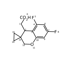 O=C(O)CC1c2c(F)cc(F)cc2OCC12CC2